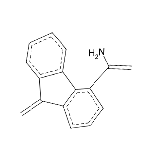 C=C(N)c1cccc2c1-c1ccccc1C2=C